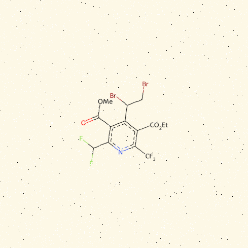 CCOC(=O)c1c(C(F)(F)F)nc(C(F)F)c(C(=O)OC)c1C(Br)CBr